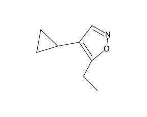 CCc1oncc1C1CC1